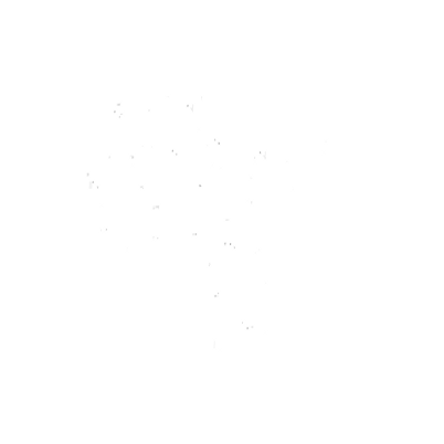 C=CC(=O)Nc1cc(N2CCC(N(C)C)CC2)c(Cl)cc1Nc1ncc(C#N)c(-c2c[nH]c3ccccc23)n1